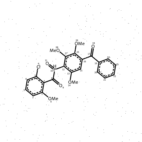 COc1cccc(Cl)c1C(=O)[PH](=O)c1c(OC)cc(C(=O)c2ccccc2)c(OC)c1OC